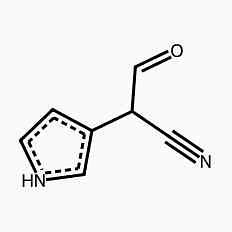 N#CC(C=O)c1cc[nH]c1